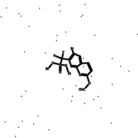 CCOP(=O)(OCC)C(F)(F)c1cc2nc(OC=O)ccc2cc1Br